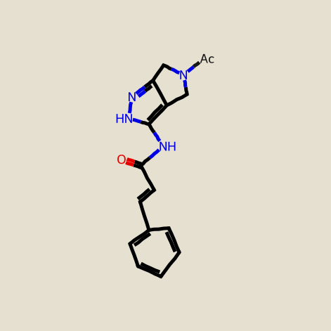 CC(=O)N1Cc2n[nH]c(NC(=O)C=Cc3ccccc3)c2C1